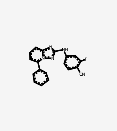 N#Cc1ccc(Nc2nc3cccc(-c4ccccc4)n3n2)cc1F